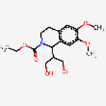 CCOC(=O)N1CCc2cc(OC)c(OC)cc2C1C(CO)CO